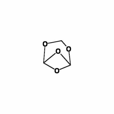 C1OC2OC(O1)O2